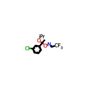 CC(C)OC(C)(ON=CC(F)(F)F)c1cccc(Cl)c1